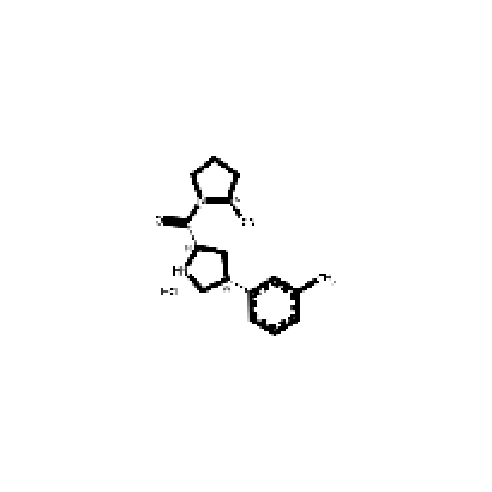 Cc1cccc([C@@H]2CN[C@H](C(=O)N3CCC[C@H]3C#N)C2)c1.Cl